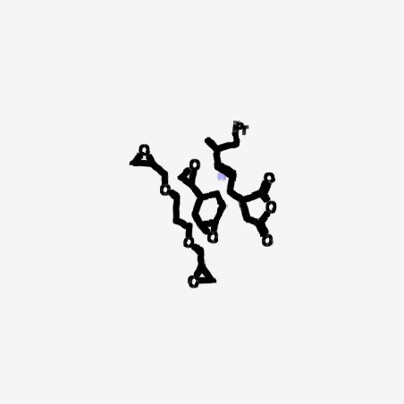 C(COCC1CO1)COCC1CO1.C1CC2OC2CC1C1CO1.CC(C)CC(C)/C=C/CC1CC(=O)OC1=O